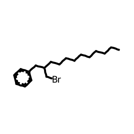 CCCCCCCCCCC(CBr)Cc1ccccc1